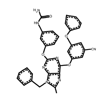 Cc1nc2c(Oc3cc(C#N)cc(Oc4ccccc4)c3)nc(Oc3cccc(NC(N)=O)c3)nc2n1Cc1ccccc1